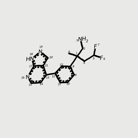 CC(CN)(CC(F)F)c1cccc(-c2ccnc3[nH]ncc23)c1